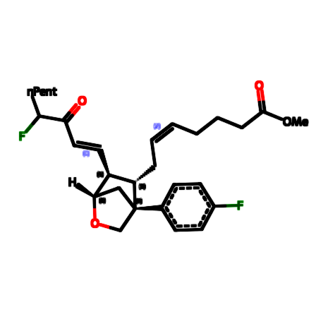 CCCCCC(F)C(=O)/C=C/[C@@H]1[C@@H]2C[C@@](c3ccc(F)cc3)(CO2)[C@H]1C/C=C\CCCC(=O)OC